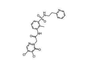 Cc1c(NC(=O)Cn2ncc(Cl)c(Cl)c2=O)cccc1S(=O)(=O)NCCc1ccccn1